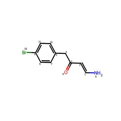 NC=CC(=O)Cc1ccc(Br)cc1